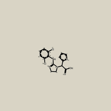 O=C(O)C(c1cccs1)N1CCN=C1Nc1c(Cl)cccc1Cl